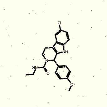 CCNC(=O)N1CCc2c([nH]c3ccc(Cl)cc23)C1c1ccc(OC)cc1